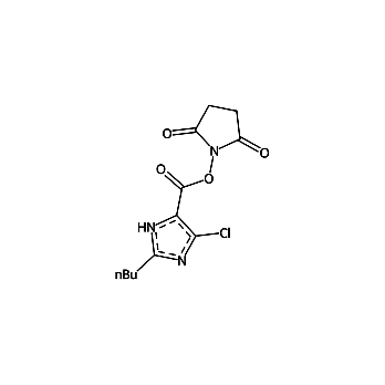 CCCCc1nc(Cl)c(C(=O)ON2C(=O)CCC2=O)[nH]1